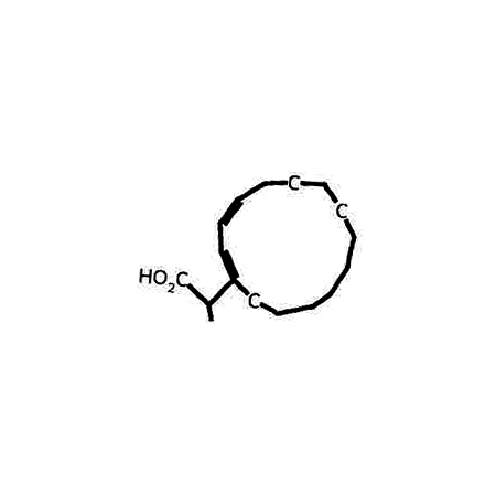 CC(C(=O)O)C1=CC=CCCCCCCCCCC1